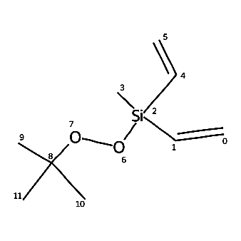 C=C[Si](C)(C=C)OOC(C)(C)C